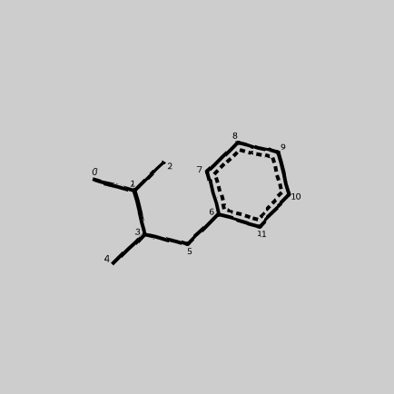 CC(C)C(C)Cc1ccccc1